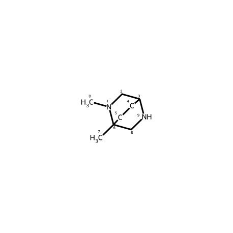 CN1CC2CCC1(C)CN2